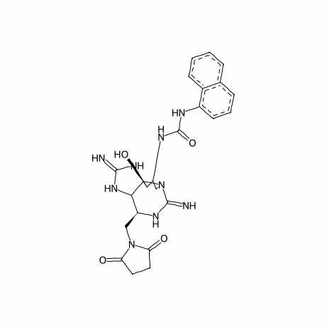 N=C1NC2[C@H](CN3C(=O)CCC3=O)NC(=N)N3CC(NC(=O)Nc4cccc5ccccc45)[C@@H](O)C23N1